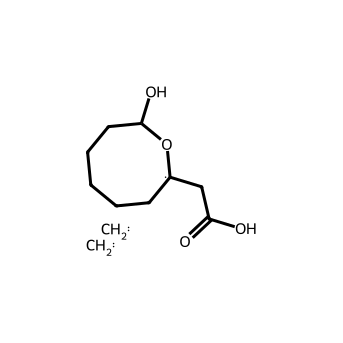 O=C(O)C[C]1CCCCCC(O)O1.[CH2].[CH2]